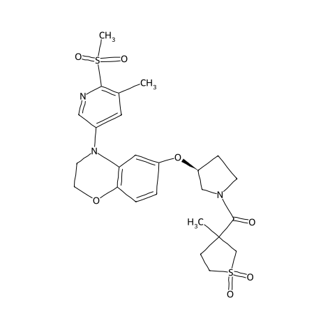 Cc1cc(N2CCOc3ccc(O[C@H]4CCN(C(=O)C5(C)CCS(=O)(=O)C5)C4)cc32)cnc1S(C)(=O)=O